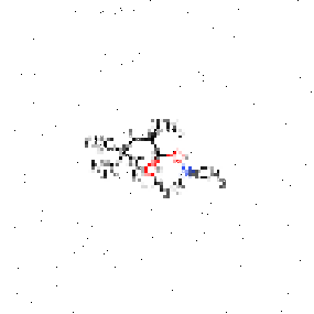 C=C(CC(C)(C)C)C(=O)ON(C)C